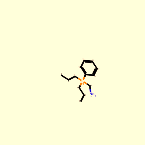 CCC[PH](CN)(CCC)c1ccccc1